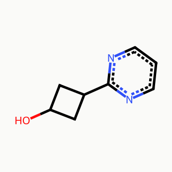 OC1CC(c2ncccn2)C1